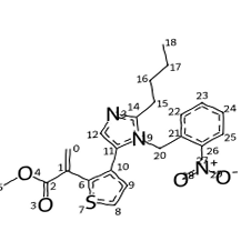 C=C(C(=O)OC)c1sccc1-c1cnc(CCCC)n1Cc1ccccc1[N+](=O)[O-]